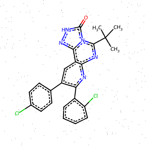 CC(C)(C)c1nc2nc(-c3ccccc3Cl)c(-c3ccc(Cl)cc3)cc2c2n[nH]c(=O)n12